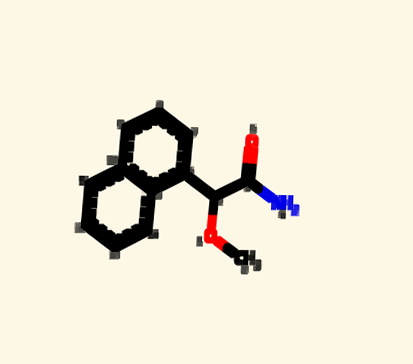 COC(C(N)=O)c1cccc2ccccc12